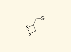 [S]CC1CSS1